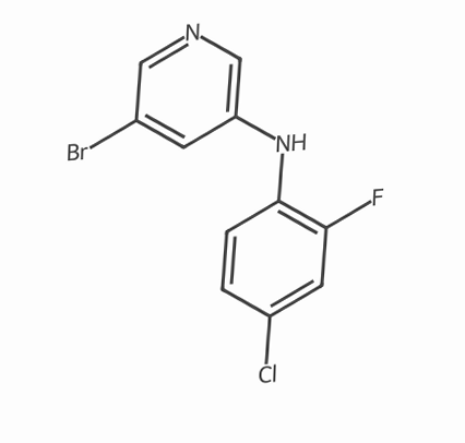 Fc1cc(Cl)ccc1Nc1cncc(Br)c1